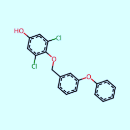 Oc1cc(Cl)c(OCc2cccc(Oc3ccccc3)c2)c(Cl)c1